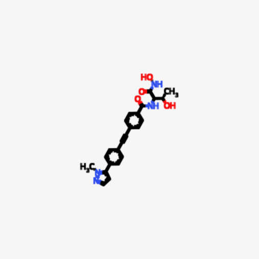 C[C@@H](O)C(NC(=O)c1ccc(C#Cc2ccc(-c3ccnn3C)cc2)cc1)C(=O)NO